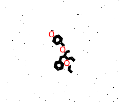 C=CC(OCCC)C(Cc1ccccc1)C(C)OCc1ccc(OC)cc1